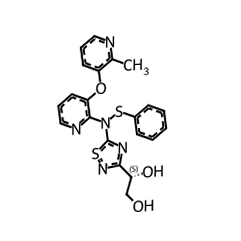 Cc1ncccc1Oc1cccnc1N(Sc1ccccc1)c1nc([C@H](O)CO)ns1